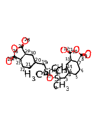 C[Si](C)(CC1CCC2C(=O)OC(=O)C2C1)O[Si](C)(C)CC1CCC2C(=O)OC(=O)C2C1